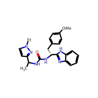 CCn1ccc(C(C)NC(=O)N[C@H](Cc2ccc(OC)cc2)c2nc3ccccc3[nH]2)n1